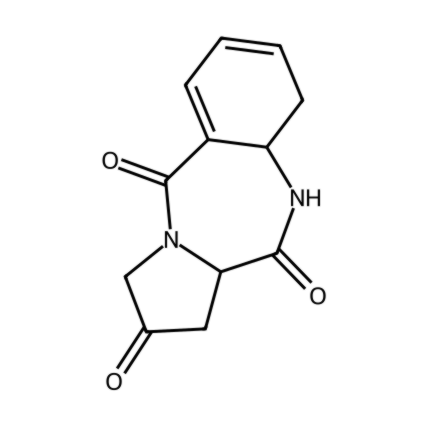 O=C1CC2C(=O)NC3CC=CC=C3C(=O)N2C1